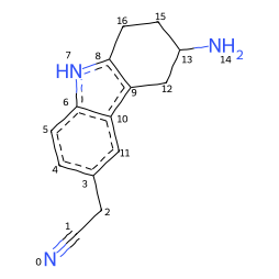 N#CCc1ccc2[nH]c3c(c2c1)CC(N)CC3